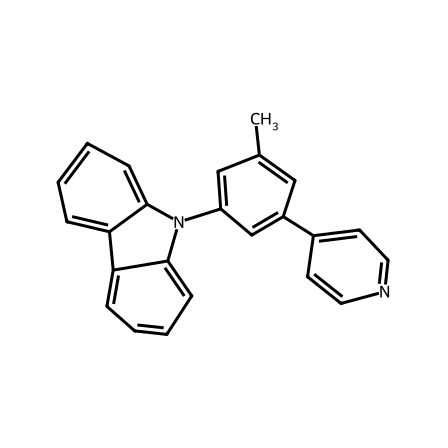 Cc1cc(-c2ccncc2)cc(-n2c3ccccc3c3ccccc32)c1